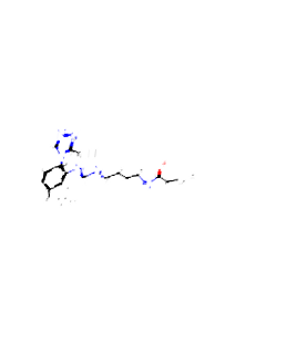 COc1ccc(-n2cnnc2C)c(/N=C/NCCCCNC(=O)COC(C)=O)c1